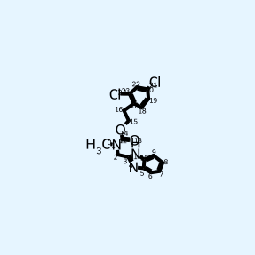 CN(Cc1nc2ccccc2[nH]1)C(=O)OCCc1ccc(Cl)cc1Cl